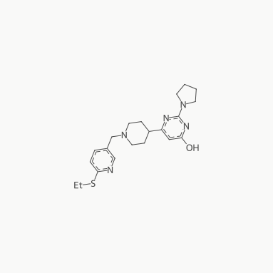 CCSc1ccc(CN2CCC(c3cc(O)nc(N4CCCC4)n3)CC2)cn1